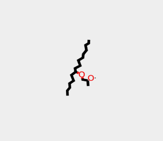 CCCCCCCCCC(CCCCCC)OCC(C)[O]